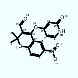 CC1(C)Oc2ccc([N+](=O)[O-])cc2C(Oc2cc[nH]c(=O)c2)=C1C=O